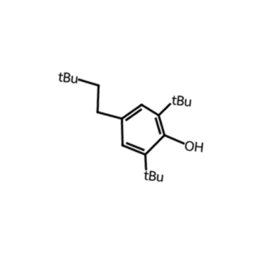 CC(C)(C)CCc1cc(C(C)(C)C)c(O)c(C(C)(C)C)c1